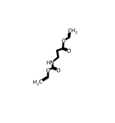 C=COC(=O)CCNC(=O)OC=C